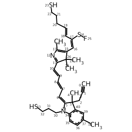 C#CCC1(C)\C(=C/C=C/C=C/C2=NC(C)=C(/C=C(\C=C\CCCS)SF)C2(C)C)N(CCCS)c2ccc(C)cc21